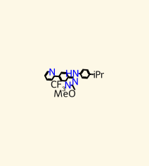 COCc1nc(Nc2ccc(C(C)C)cc2)c2ccc(-c3ncccc3C(F)(F)F)cc2n1